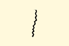 [CH2]CCCCCCCCCC/C=C/CC